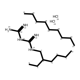 CCCCC(CC)CNC(=N)NC(=N)N.CCCCCCCCC.Cl.Cl